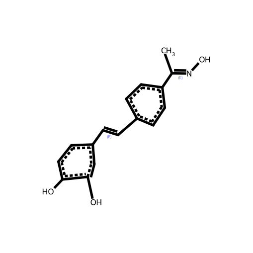 C/C(=N\O)c1ccc(/C=C/c2ccc(O)c(O)c2)cc1